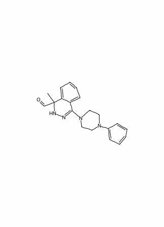 CC1(C=O)NN=C(N2CCN(c3ccccc3)CC2)c2ccccc21